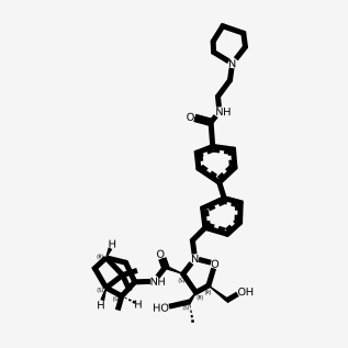 C[C@H](O)[C@@H]1[C@H](CO)ON(Cc2cccc(-c3ccc(C(=O)NCCN4CCCCC4)cc3)c2)[C@@H]1C(=O)NC1C[C@H]2C[C@@H]([C@@H]1C)C2(C)C